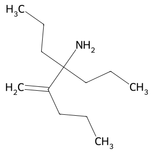 C=C(CCC)C(N)(CCC)CCC